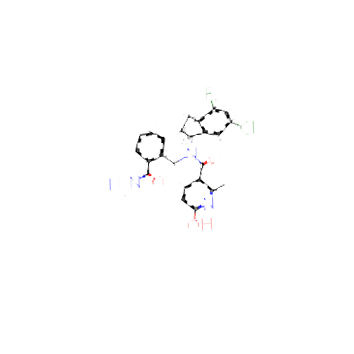 Cc1nc(O)ccc1C(=O)N(Cc1ccccc1C(N)=O)[C@@H]1CCc2c(F)cc(Cl)cc21